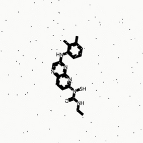 CCNC(=O)N(S)c1ccc2ncc(Nc3cccc(C)c3C)nc2n1